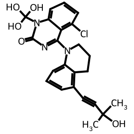 CC(C)(O)C#Cc1cccc2c1CCCN2c1nc(=O)n(C(O)(O)O)c2cccc(Cl)c12